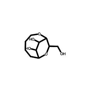 OCC1OC2CCCCOC1C(O)C2O